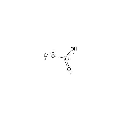 O=S(O)O.[Cr]